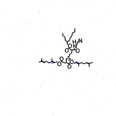 CCCCCCC(CCCC)COC(=O)C(CCSCC(CC(=O)OC/C=C(\C)CCC=C(C)C)C(=O)OC/C=C(\C)CCC=C(C)C)C(=O)NCCN(C)C